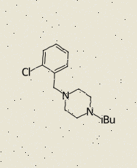 CCC(C)N1CCN(Cc2ccccc2Cl)CC1